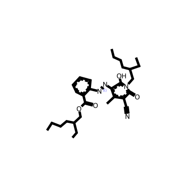 CCCCC(CC)COC(=O)c1ccccc1/N=N/c1c(C)c(C#N)c(=O)n(CC(CC)CCCC)c1O